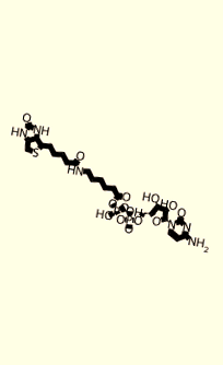 Nc1ccn([C@@H]2O[C@H](COP(=O)(O)OP(=O)(O)OC(=O)CCCCCNC(=O)CCCCC3SCC4NC(=O)NC43)[C@H](O)C2O)c(=O)n1